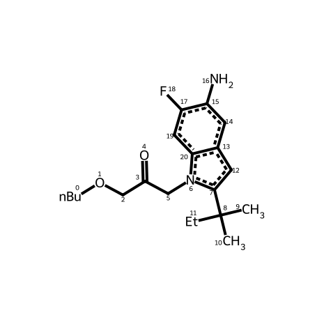 CCCCOCC(=O)Cn1c(C(C)(C)CC)cc2cc(N)c(F)cc21